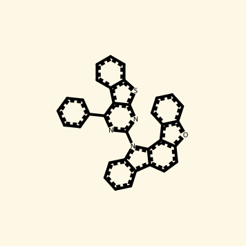 c1ccc(-c2nc(-n3c4ccccc4c4ccc5oc6ccccc6c5c43)nc3sc4ccccc4c23)cc1